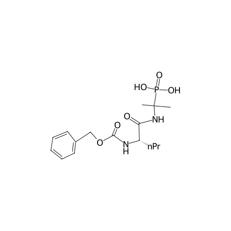 CCC[C@H](NC(=O)OCc1ccccc1)C(=O)NC(C)(C)P(=O)(O)O